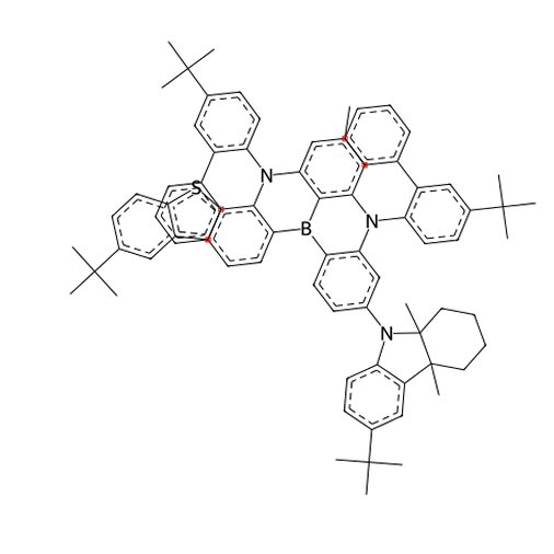 Cc1cc2c3c(c1)N(c1ccc(C(C)(C)C)cc1-c1ccccc1)c1c(ccc4c1sc1ccc(C(C)(C)C)cc14)B3c1ccc(N3c4ccc(C(C)(C)C)cc4C4(C)CCCCC34C)cc1N2c1ccc(C(C)(C)C)cc1-c1ccccc1